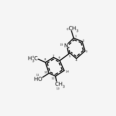 Cc1cccc(-c2cc(C)c(O)c(C)c2)n1